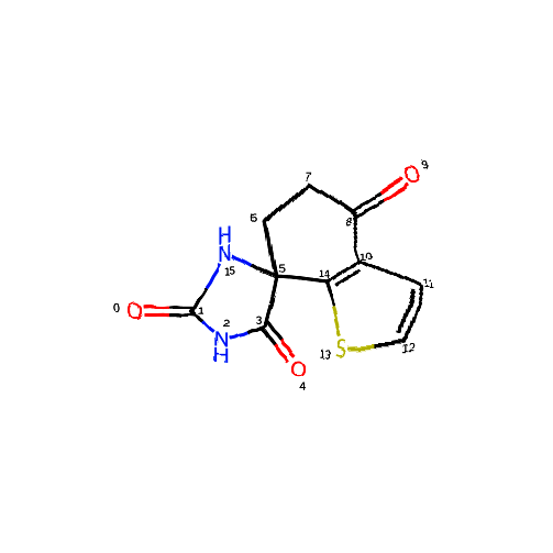 O=C1NC(=O)C2(CCC(=O)c3ccsc32)N1